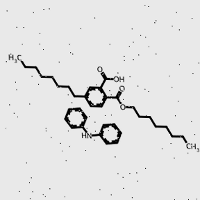 CCCCCCCCOC(=O)c1ccc(CCCCCCCC)cc1C(=O)O.c1ccc(Nc2ccccc2)cc1